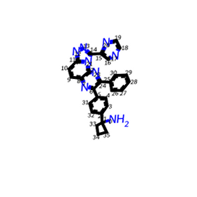 NC1(c2ccc(-c3nc4ccc5nnc(-c6cnccn6)n5c4nc3-c3ccccc3)cc2)CCC1